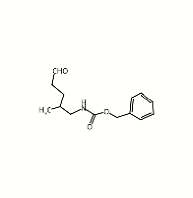 CC(CCC=O)CNC(=O)OCc1ccccc1